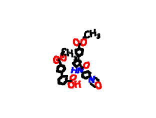 CCOC(=O)c1ccc(-c2cccc(C(=O)Nc3ccc(N4CCOCC4)cc3)c2)cc1.CCOC(=O)c1ccc(-c2cccc(C(=O)O)c2)cc1